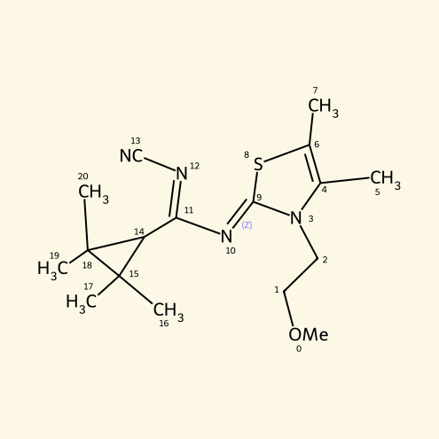 COCCn1c(C)c(C)s/c1=N\C(=NC#N)C1C(C)(C)C1(C)C